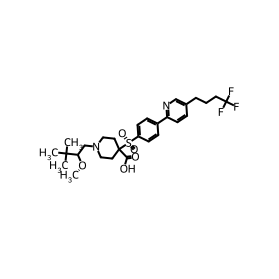 COC(CN1CCC(C(=O)O)(S(=O)(=O)c2ccc(-c3ccc(CCCC(F)(F)F)cn3)cc2)CC1)C(C)(C)C